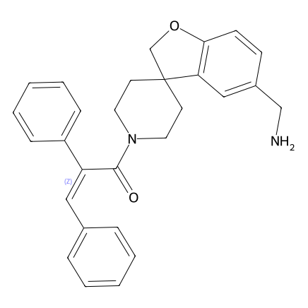 NCc1ccc2c(c1)C1(CCN(C(=O)/C(=C\c3ccccc3)c3ccccc3)CC1)CO2